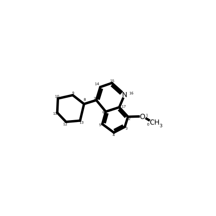 COc1cccc2c(C3CCCCC3)ccnc12